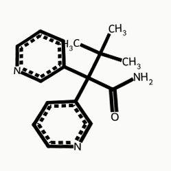 CC(C)(C)C(C(N)=O)(c1cccnc1)c1cccnc1